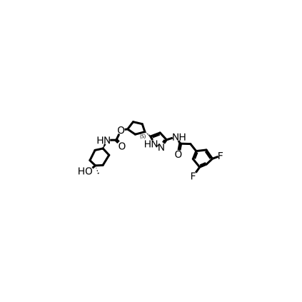 C[C@]1(O)CC[C@@H](NC(=O)OC2CC[C@H](c3cc(NC(=O)Cc4cc(F)cc(F)c4)n[nH]3)C2)CC1